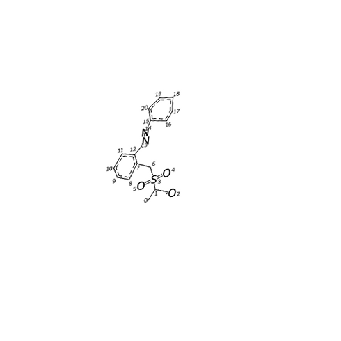 CC([O])S(=O)(=O)Cc1ccccc1/N=N/c1ccccc1